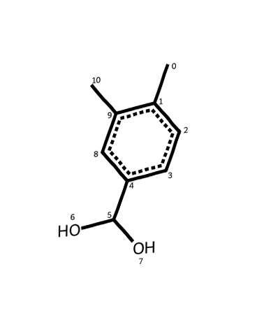 Cc1ccc(C(O)O)cc1C